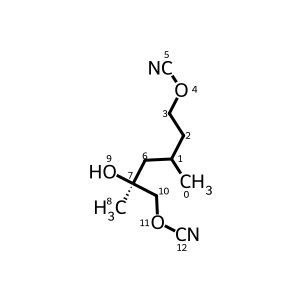 CC(CCOC#N)C[C@](C)(O)COC#N